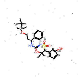 CC1(C)OC(N[C@@H](CCO[Si](C)(C)C(C)(C)C)c2ccccc2)=NS(=O)(=O)C1c1cccc(O)c1